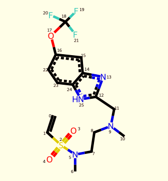 C=CS(=O)(=O)N(C)CCN(C)Cc1nc2cc(OC(F)(F)F)ccc2[nH]1